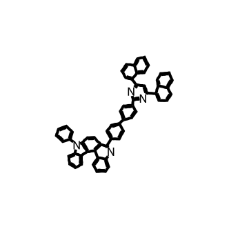 c1ccc(-n2c3ccccc3c3c4c(ccc32)c(-c2ccc(-c3ccc(-c5nc(-c6cccc7ccccc67)cc(-c6cccc7ccccc67)n5)cc3)cc2)nc2ccccc24)cc1